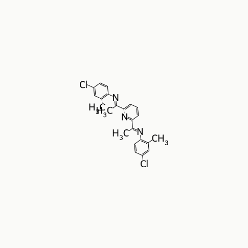 C/C(=N\c1ccc(Cl)cc1C)c1cccc(/C(C)=N/c2ccc(Cl)cc2C)n1